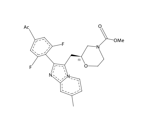 COC(=O)N1CCO[C@@H](Cc2c(-c3c(F)cc(C(C)=O)cc3F)nc3cc(C)ccn23)C1